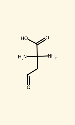 NC(N)(C[C]=O)C(=O)O